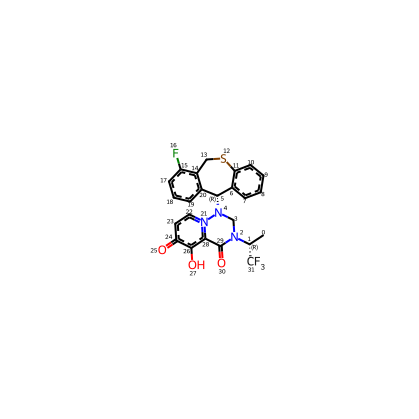 C[C@@H](N1CN([C@H]2c3ccccc3SCc3c(F)cccc32)n2ccc(=O)c(O)c2C1=O)C(F)(F)F